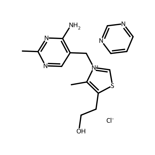 Cc1ncc(C[n+]2csc(CCO)c2C)c(N)n1.[Cl-].c1cncnc1